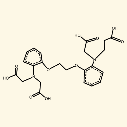 O=C(O)CCN(CC(=O)O)c1ccccc1OCCOc1ccccc1N(CC(=O)O)CC(=O)O